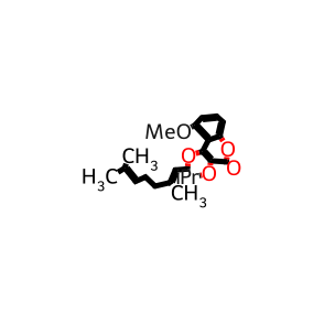 COc1cccc2oc(=O)c(OC(C)C)c(OC/C=C(\C)CCC=C(C)C)c12